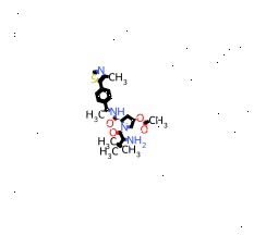 CC(=O)O[C@@H]1C[C@@H](C(=O)NC(C)c2ccc(-c3scnc3C)cc2)N(C(=O)C(N)C(C)(C)C)C1